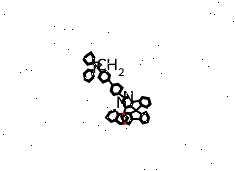 C=P(c1ccccc1)(c1ccccc1)c1ccc(-c2ccc(-c3nc4c(c(-c5cccc6ccccc56)n3)C3(c5ccccc5-c5ccccc53)c3ccccc3-4)cc2)cc1